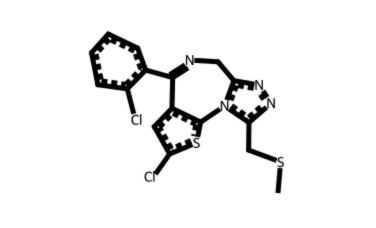 CSCc1nnc2n1-c1sc(Cl)cc1C(c1ccccc1Cl)=NC2